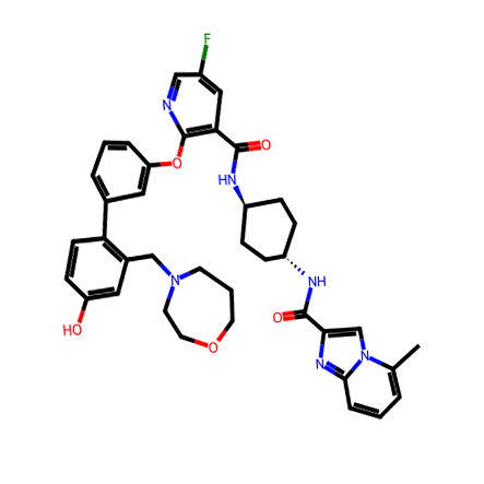 Cc1cccc2nc(C(=O)N[C@H]3CC[C@H](NC(=O)c4cc(F)cnc4Oc4cccc(-c5ccc(O)cc5CN5CCCOCC5)c4)CC3)cn12